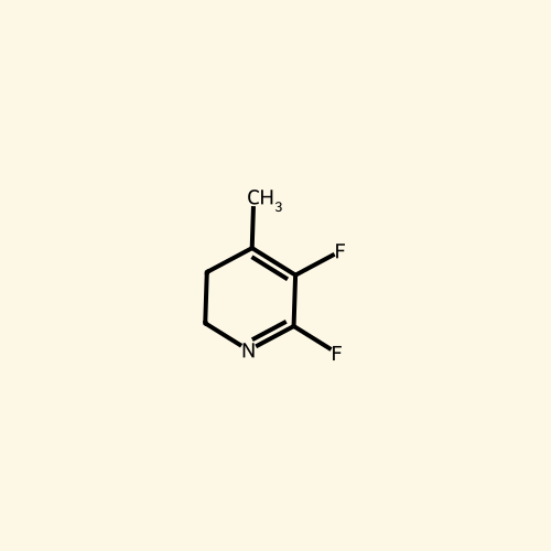 CC1=C(F)C(F)=NCC1